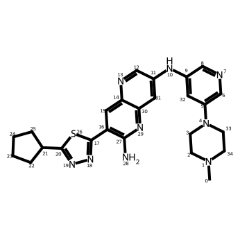 CN1CCN(c2cncc(Nc3cnc4cc(-c5nnc(C6CCCC6)s5)c(N)nc4c3)c2)CC1